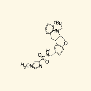 Cn1cnc(S(=O)(=O)NCc2ccc3c(c2)C(Cc2ccccc2)C(NCC(C)(C)C)CO3)c1